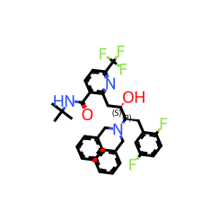 CC(C)(C)NC(=O)c1ccc(C(F)(F)F)nc1C[C@H](O)[C@@H](Cc1cc(F)ccc1F)N(Cc1ccccc1)Cc1ccccc1